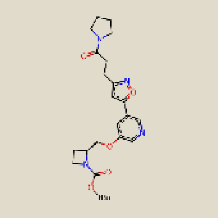 CC(C)(C)OC(=O)N1CC[C@H]1COc1cncc(-c2cc(CCC(=O)N3CCCC3)no2)c1